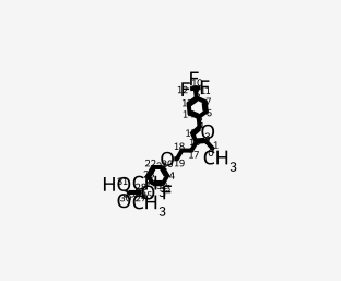 CCc1oc(-c2ccc(C(F)(F)F)cc2)cc1CCCOc1ccc(OC(C)(C)C(=O)O)c(F)c1